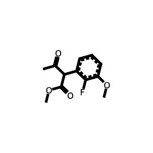 COC(=O)C(C(C)=O)c1cccc(OC)c1F